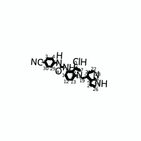 Cl.N#Cc1ccc(NC(=O)Nc2cccc3c2ccn3Cc2ccnc3[nH]ccc23)cc1